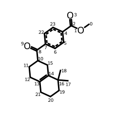 COC(=O)c1ccc(C(=O)C2CCC3=C(C2)C(C)(C)CCC3)cc1